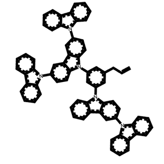 C=CCc1cc(-n2c3ccccc3c3cc(-n4c5ccccc5c5ccccc54)ccc32)cc(-n2c3ccc(-n4c5ccccc5c5ccccc54)cc3c3cc(-n4c5ccccc5c5ccccc54)ccc32)c1